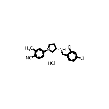 Cc1cc(N2CC[C@H](NCc3ccc(Cl)cc3Cl)C2)ccc1C#N.Cl